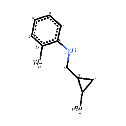 CCCCC1CC1CNc1ccccc1C#N